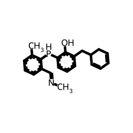 C/N=C/c1cccc(C)c1Pc1cccc(CC2C=CC=CC2)c1O